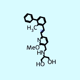 COc1nc(/C=C/c2cccc(-c3ccccc3)c2C)ccc1CNC(CO)CO